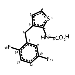 O=C(O)Nc1sccc1Cc1cc(F)ccc1F